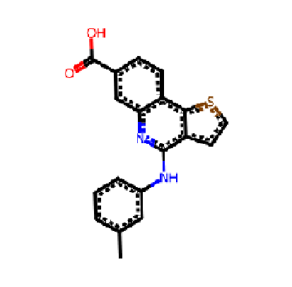 Cc1cccc(Nc2nc3cc(C(=O)O)ccc3c3sccc23)c1